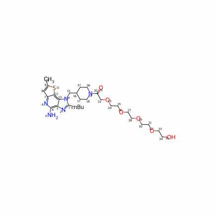 CCCCc1nc2c(N)nc3cc(C)sc3c2n1CC1CCN(C(=O)COCCOCCOCCOCCO)CC1